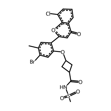 Cc1cc(-c2cc(=O)c3cccc(Cl)c3o2)c(OC2CC(C(=O)NS(C)(=O)=O)C2)cc1Br